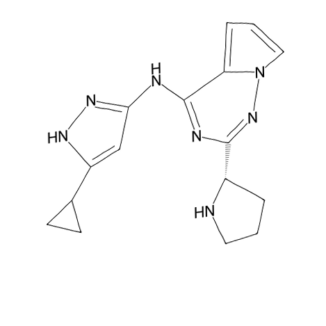 c1cc2c(Nc3cc(C4CC4)[nH]n3)nc([C@@H]3CCCN3)nn2c1